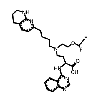 O=C(O)C(CCN(CCCCc1ccc2c(n1)NCCC2)CCOC(F)F)Nc1ncnc2ccccc12